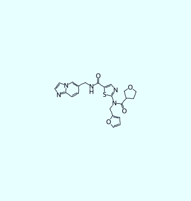 O=C(NCc1ccc2nccn2c1)c1cnc(N(Cc2ccco2)C(=O)C2CCOC2)s1